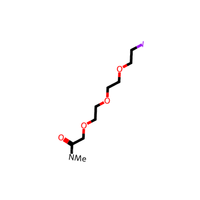 CNC(=O)COCCOCCOCCI